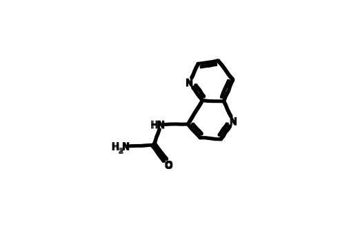 NC(=O)Nc1ccnc2cccnc12